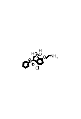 Cl.NCCOc1cccc2c1S(O)(O)CC2S(=O)(=O)c1ccccc1